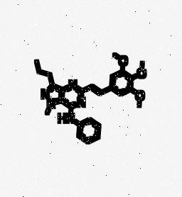 CCCc1nn(C)c2c(Nc3ccccc3)nc(/C=C/c3cc(OC)c(OC)c(OC)c3)nc12